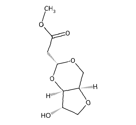 COC(=O)C[C@@H]1OC[C@H]2OC[C@H](O)[C@H]2O1